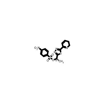 C[C@@H](OS(=O)(=O)c1ccc([N+](=O)[O-])cc1)c1nnc(C2=NCCC=C2)s1